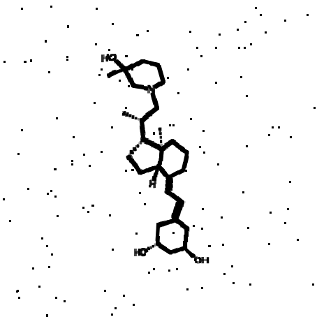 C[C@H](CN1CCC[C@@](C)(O)C1)[C@H]1CC[C@H]2/C(=C/C=C3C[C@@H](O)C[C@H](O)C3)CCC[C@]12C